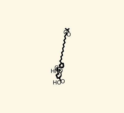 CC(C)(C)OC(=O)CCCCCCCCCCCCCc1cccc(S(=O)(=O)Nc2ccc(C(=O)O)cn2)c1